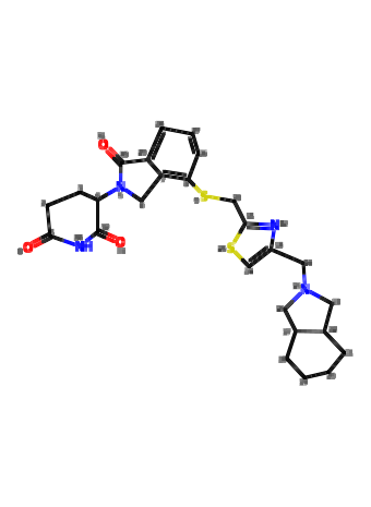 O=C1CCC(N2Cc3c(SCc4nc(CN5CC6CCCCC6C5)cs4)cccc3C2=O)C(=O)N1